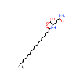 CCC=CCC=CCC=CCCCCCCCC(=O)NC(CCC(N)=O)C(=O)O